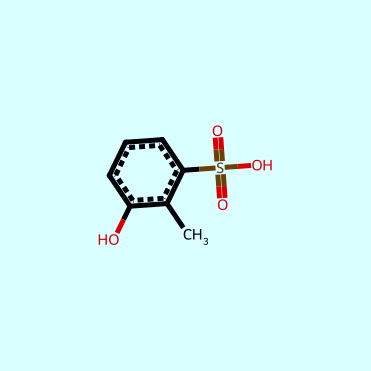 Cc1c(O)cccc1S(=O)(=O)O